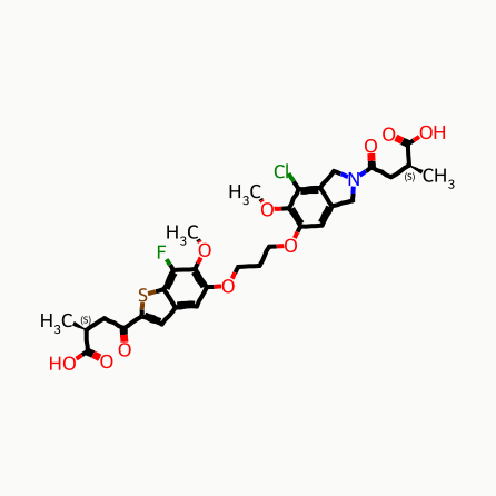 COc1c(OCCCOc2cc3cc(C(=O)C[C@H](C)C(=O)O)sc3c(F)c2OC)cc2c(c1Cl)CN(C(=O)C[C@H](C)C(=O)O)C2